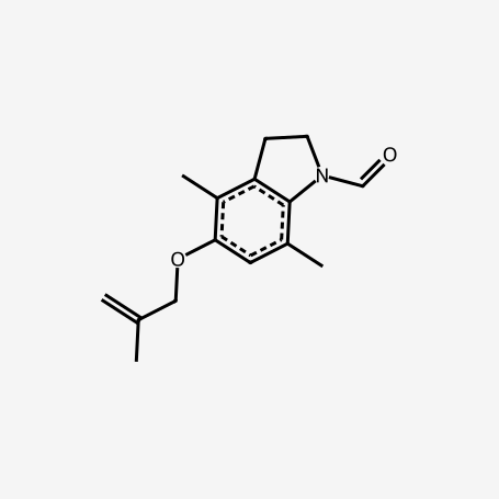 C=C(C)COc1cc(C)c2c(c1C)CCN2C=O